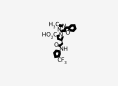 Cc1nc(N2C[C@@H](CC(=O)Nc3cccc(C(F)(F)F)c3)C[C@H]2C(=O)O)c2oc3ccccc3c2n1